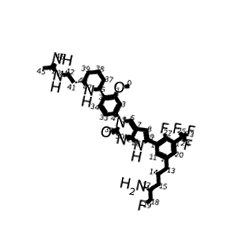 COc1cc(-n2cc3cc(-c4cc(CCC[C@@H](N)CF)cc(C(F)(F)F)c4F)[nH]c3nc2=O)ccc1[C@@H]1CCC[C@@H](CCNC(C)=N)N1